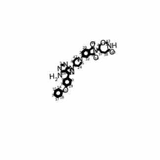 Nc1ncnc2c1c(-c1ccc(Oc3ccccc3)cc1)nn2C1CCN(c2ccc3c(c2)C(=O)N(C2CCC(=O)NCOC2)C3=O)CC1